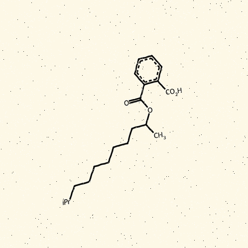 CC(C)CCCCCCCC(C)OC(=O)c1ccccc1C(=O)O